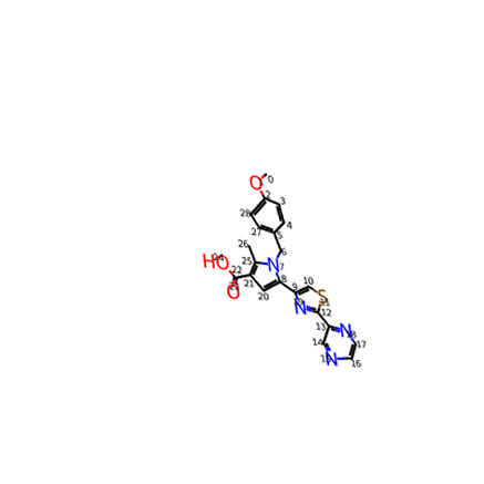 COc1ccc(Cn2c(-c3csc(-c4cnccn4)n3)cc(C(=O)O)c2C)cc1